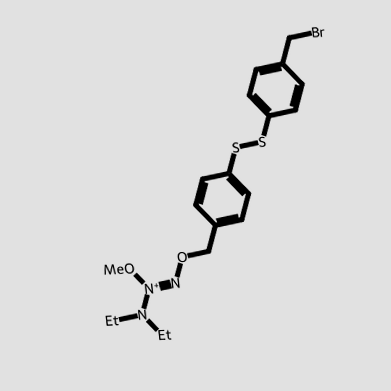 CCN(CC)/[N+](=N/OCc1ccc(SSc2ccc(CBr)cc2)cc1)OC